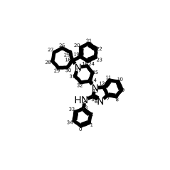 c1ccc(Nc2nc3ccccc3n2C2CCN(C3(c4ccccc4)CCCCCC3)CC2)cc1